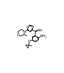 CC1COCCN1c1cc(C(=N)c2cc(OC3(C)CC3)ccc2N)ncn1